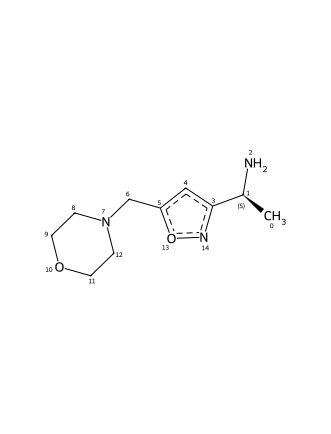 C[C@H](N)c1cc(CN2CCOCC2)on1